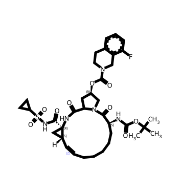 CC(C)(C)OC(=O)N[C@H]1CCCCC/C=C\[C@@H]2C[C@@]2(C(=O)NS(=O)(=O)C2CC2)NC(=O)C2C[C@@H](OC(=O)N3CCc4cccc(F)c4C3)CN2C1=O